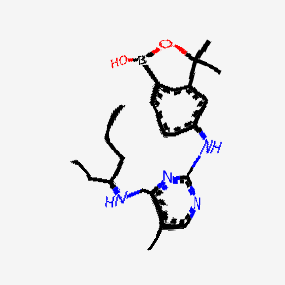 CCCC(CC)Nc1nc(Nc2ccc3c(c2)C(C)(C)OB3O)ncc1C